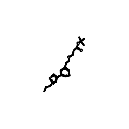 CCCn1cc(-c2cccc(CCOCCC(=O)OC(C)(C)C)c2)cn1